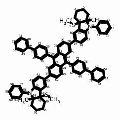 CSC12CCCCC1(C)N(c1ccccc1)c1ccc(-c3ccc4c(-c5ccc(-c6ccccc6)cc5)c5cc(-c6ccc7c(c6)C6(SC)CCCCC6(C)N7c6ccccc6)ccc5c(-c5ccc(-c6ccccc6)cc5)c4c3)cc12